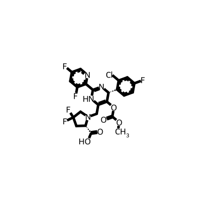 COC(=O)OC1=C(CN2CC(F)(F)C[C@H]2C(=O)O)NC(c2ncc(F)cc2F)=N[C@@H]1c1ccc(F)cc1Cl